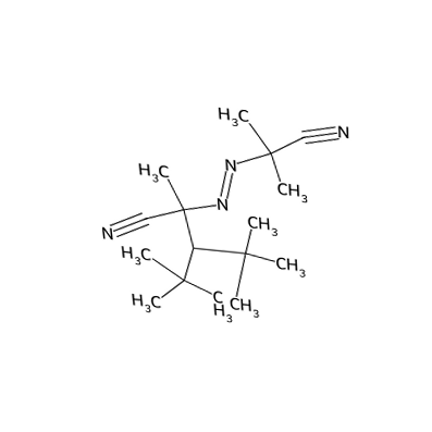 CC(C)(C#N)/N=N/C(C)(C#N)C(C(C)(C)C)C(C)(C)C